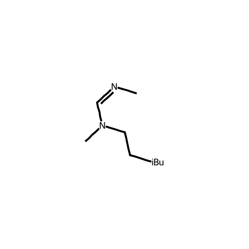 CCC(C)CCN(C)/C=N\C